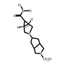 CCOC(=O)N1CC2CC(N3C[C@@H]4C(C(=O)N(CC)CC)[C@@H]4C3)CC2C1